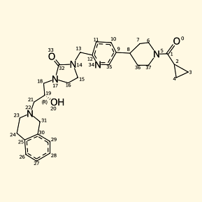 O=C(C1CC1)N1CCC(c2ccc(CN3CCN(C[C@H](O)CN4CCc5ccccc5C4)C3=O)nc2)CC1